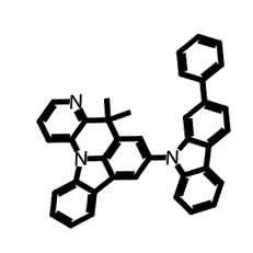 CC1(C)c2ncccc2-n2c3ccccc3c3cc(-n4c5ccccc5c5ccc(-c6ccccc6)cc54)cc1c32